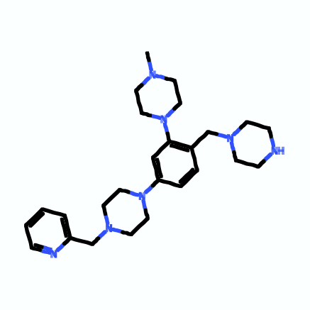 CN1CCN(c2cc(N3CCN(Cc4ccccn4)CC3)ccc2CN2CCNCC2)CC1